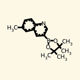 Cc1ccc2ncc(B3OC(C)(C)C(C)(C)O3)cc2c1